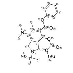 CCC(C)(C)N1Cc2c(c(N(C)C)c(C)c(C(=O)Oc3ccccc3)c2OC(=O)OC(C)(C)C)C1